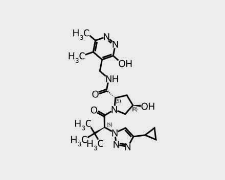 Cc1nnc(O)c(CNC(=O)[C@@H]2C[C@@H](O)CN2C(=O)[C@@H](n2cc(C3CC3)nn2)C(C)(C)C)c1C